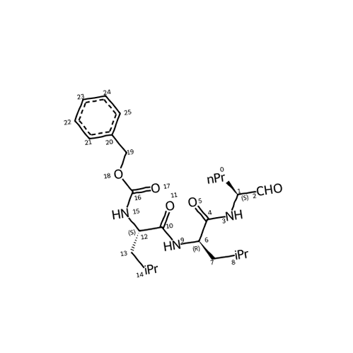 CCC[C@@H](C=O)NC(=O)[C@@H](CC(C)C)NC(=O)[C@H](CC(C)C)NC(=O)OCc1ccccc1